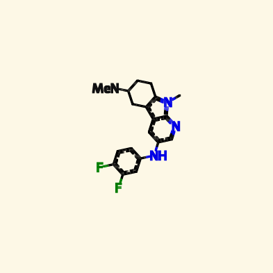 CNC1CCc2c(c3cc(Nc4ccc(F)c(F)c4)cnc3n2C)C1